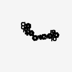 CC1(C)c2cc(C3CCCC(N4CC5(CCN(c6cc(F)c(N7C(=O)CCCC7=O)c(F)c6)CC5)C4)C3)ccc2-n2c1nc(=O)c1c(Cl)cccc12